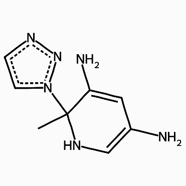 CC1(n2ccnn2)NC=C(N)C=C1N